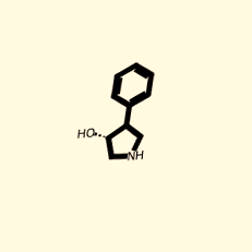 O[C@H]1CNCC1c1ccccc1